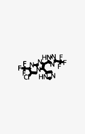 FC(F)(F)c1n[nH]c(-c2nc3nc(C(F)(F)F)c(Cl)cn3c2-c2cnc[nH]2)n1